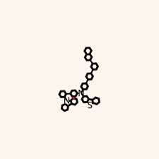 c1cc(-c2ccc(-c3ccc(N(c4ccc(-c5ccccc5-n5c6ccccc6c6ccccc65)cc4)c4ccc5sc6ccccc6c5c4)cc3)cc2)cc(-c2ccc3ccccc3c2)c1